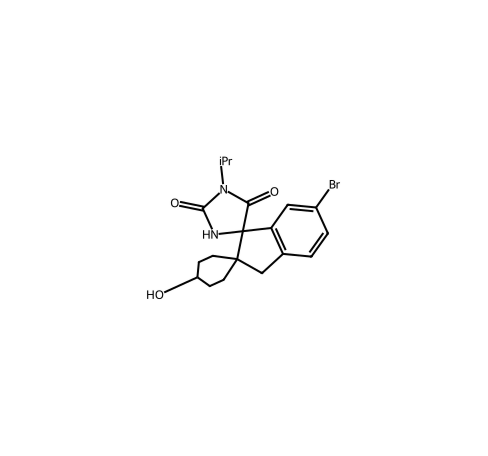 CC(C)N1C(=O)NC2(C1=O)c1cc(Br)ccc1CC21CCC(O)CC1